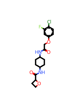 O=C(COc1ccc(Cl)c(F)c1)NC1CCC(NC(=O)C2CCO2)CC1